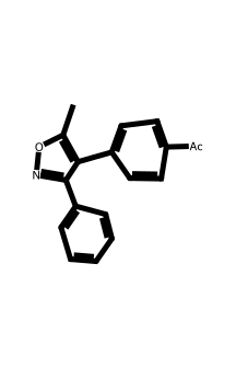 CC(=O)c1ccc(-c2c(-c3ccccc3)noc2C)cc1